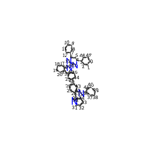 c1ccc(-c2cc(-c3ccccc3)nc(-n3c4ccccc4c4cc(-c5ccc6c7ncccc7n(-c7ccccc7)c6c5)ccc43)n2)cc1